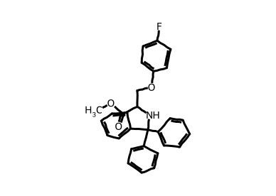 COC(=O)C(COc1ccc(F)cc1)NC(c1ccccc1)(c1ccccc1)c1ccccc1